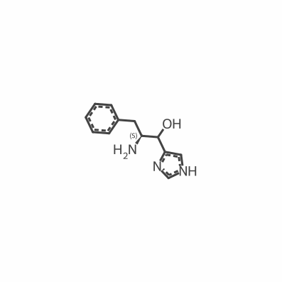 N[C@@H](Cc1ccccc1)C(O)c1c[nH]cn1